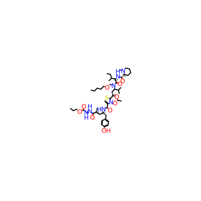 CCCCCOCN(C(=O)[C@@H](NC(=O)[C@H]1CCCCN1C)C(C)CC)C(C[C@@H](OC(C)=O)c1nc(C(=O)N[C@@H](Cc2ccc(O)cc2)C[C@H](C)C(=O)NNC(=O)OCCC)cs1)C(C)C